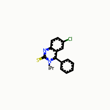 CC(C)n1c(-c2ccccc2)c2cc(Cl)ccc2nc1=S